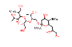 COC(CO)C(OC(OC(CO[C@]1(C(=O)O)C[C@@H](O)C(NC(C)=O)C(C[C@H](O)CO)O1)[C@@H](C)O)[C@@H](O)CO)C(O)C(C)O